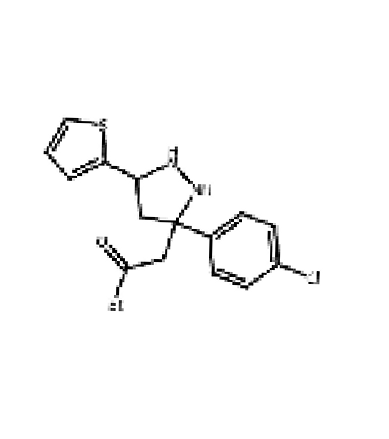 CCC(=O)CC1(c2ccc(Cl)cc2)CC(c2cccs2)NN1